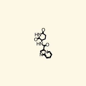 O=C1CCC(NC(=O)c2cnc3ccccn23)C(=O)N1